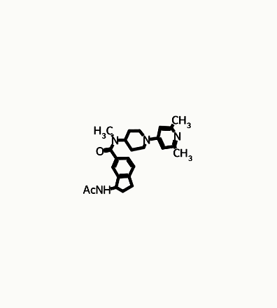 CC(=O)NC1CCc2ccc(C(=O)N(C)C3CCN(c4cc(C)nc(C)c4)CC3)cc21